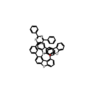 c1ccc(-c2nc(-c3ccccc3)nc(-c3cccc(-c4ccc5sc6cccc(-c7cccc8c7oc7ccccc78)c6c5c4-n4c5ccccc5c5ccccc54)c3)n2)cc1